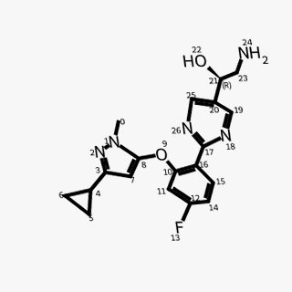 Cn1nc(C2CC2)cc1Oc1cc(F)ccc1-c1ncc([C@@H](O)CN)cn1